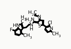 C=C/N=C1/C=C(c2ccc(C)nc2Cl)S/C1=C(/N)NCCc1c(C)[nH]c2c(F)ccc(C)c12